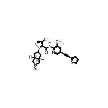 CC(=O)N1C[C@H]2CC(n3ncc(Cl)c3C(=O)Nc3ncc(C#Cc4cccs4)cc3C)C[C@H]2C1